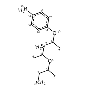 CC(CN)OC(C)[SiH2]C(C)Oc1ccc(N)cc1